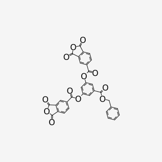 O=C(OCc1ccccc1)c1cc(OC(=O)c2ccc3c(c2)C(=O)OC3=O)cc(OC(=O)c2ccc3c(c2)C(=O)OC3=O)c1